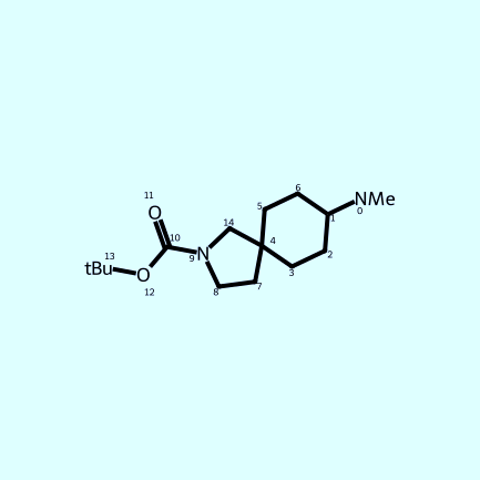 CNC1CCC2(CC1)CCN(C(=O)OC(C)(C)C)C2